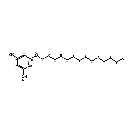 CCCCCCCCCCCCCCOc1cc(O)cc(Cl)c1